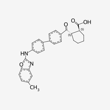 Cc1ccc2oc(Nc3ccc(-c4ccc(C(=O)[C@H]5CCCC[C@@H]5C(=O)O)cc4)cc3)nc2c1